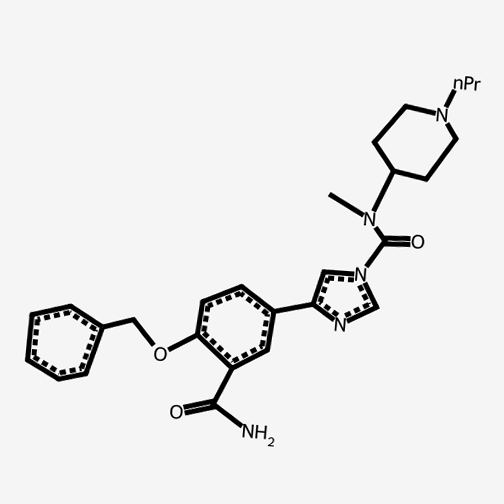 CCCN1CCC(N(C)C(=O)n2cnc(-c3ccc(OCc4ccccc4)c(C(N)=O)c3)c2)CC1